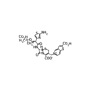 CC(C)(ON=C(C(=O)NC1C(=O)N2C(C(=O)[O-])=C(C[n+]3ccc4sc(C(=O)O)cc4c3)CS[C@@H]12)c1csc(N)n1)C(=O)O